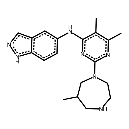 Cc1nc(N2CCNCC(C)C2)nc(Nc2ccc3[nH]ncc3c2)c1C